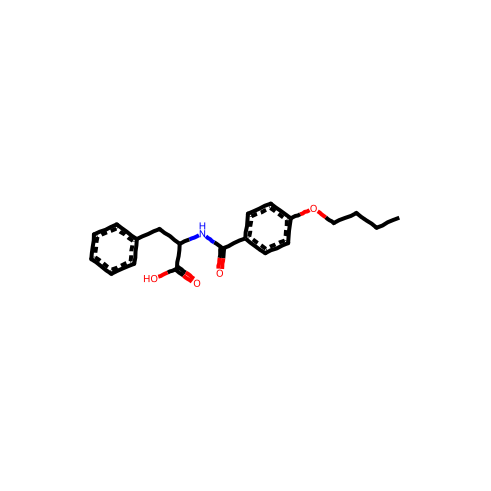 CCCCOc1ccc(C(=O)NC(Cc2ccccc2)C(=O)O)cc1